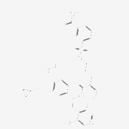 C/C=C(/CCCNS(=O)(=O)c1cccc(C(=O)N(C)C)c1)C(=O)O[C@@H](Cc1c(Cl)cncc1Cl)c1ccc(OC(F)F)c(OCC2CC2)c1